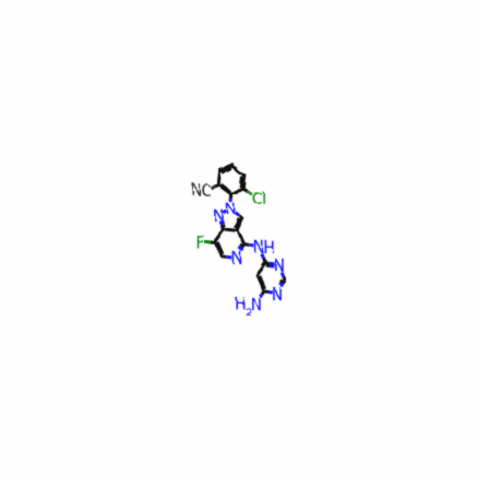 N#Cc1cccc(Cl)c1-n1cc2c(Nc3cc(N)ncn3)ncc(F)c2n1